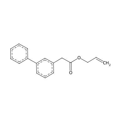 C=CCOC(=O)Cc1cccc(-c2ccccc2)c1